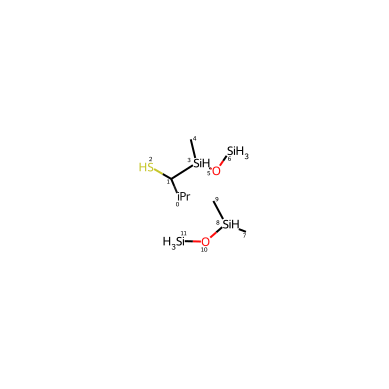 CC(C)C(S)[SiH](C)O[SiH3].C[SiH](C)O[SiH3]